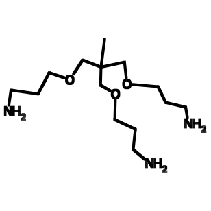 CC(COCCCN)(COCCCN)COCCCN